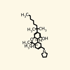 CCCCCCC(C)(C)C1=CC2OC(C)(C)[C@H]3CC=C(CN4CCCC4)CC3[C@@H]2C(O)=C1